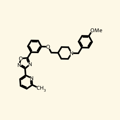 COc1ccc(CN2CCC(COc3cccc(-c4nc(-c5cccc(C)n5)no4)c3)CC2)cc1